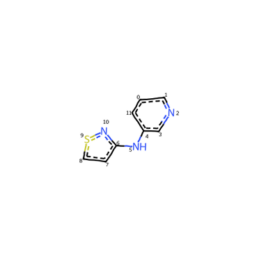 c1cncc(Nc2ccsn2)c1